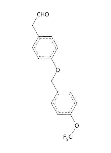 O=CCc1ccc(OCc2ccc(OC(F)(F)F)cc2)cc1